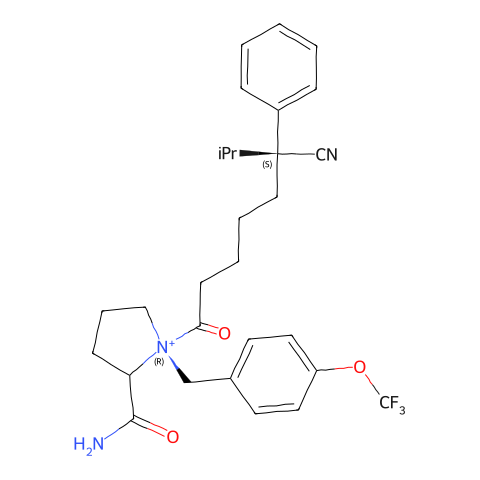 CC(C)[C@@](C#N)(CCCCC(=O)[N@@+]1(Cc2ccc(OC(F)(F)F)cc2)CCCC1C(N)=O)c1ccccc1